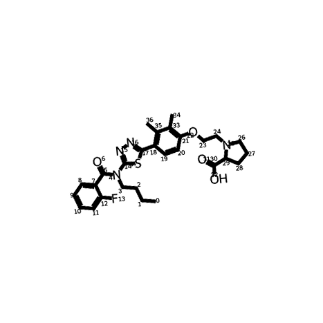 CCCCN(C(=O)c1ccccc1F)c1nnc(-c2ccc(OCCN3CCCC3C(=O)O)c(C)c2C)s1